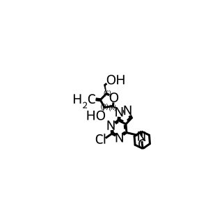 C=C1[C@@H](O)[C@H](n2ncc3c(N4CC5CCC4CC5)nc(Cl)nc32)O[C@@H]1CO